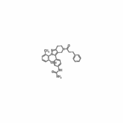 Cc1cccc(OCC(C)C)c1-n1nc2c(c1-c1ccc(NC(N)=O)cc1)CN(C(=O)CCc1ccccc1)CC2